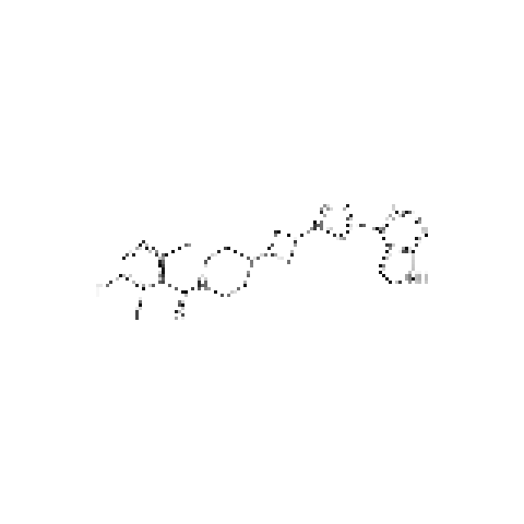 O=C(c1c(F)ccc(F)c1F)N1CCC(N2CC(n3ccc(-c4ncnc5[nH]ccc45)c3)C2)CC1